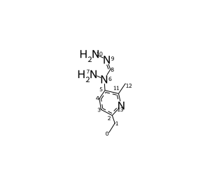 CCc1ccc(N(N)/C=N\N)c(C)n1